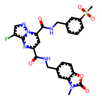 Cn1c(=O)oc2ccc(CNC(=O)c3cc(C(=O)NCc4cccc(S(C)(=O)=O)c4)n4ncc(F)c4n3)cc21